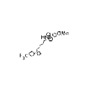 COc1ccc(S(=O)(=O)NCCCCCCC(=O)c2ccc(C(F)(F)F)cc2)cc1